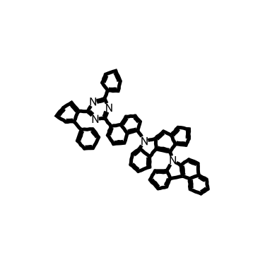 c1ccc(-c2nc(-c3ccccc3-c3ccccc3)nc(-c3cccc4c(-n5c6ccccc6c6c(-n7c8ccccc8c8c9ccccc9ccc87)c7ccccc7cc65)cccc34)n2)cc1